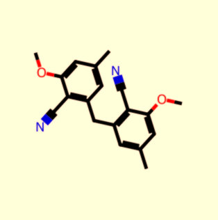 COc1cc(C)cc(Cc2cc(C)cc(OC)c2C#N)c1C#N